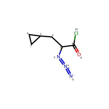 [N-]=[N+]=NC(CC1CC1)C(=O)Cl